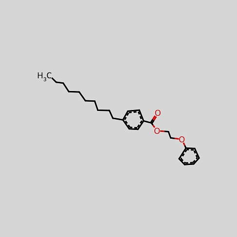 CCCCCCCCCCc1ccc(C(=O)OCCOc2ccccc2)cc1